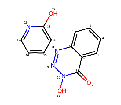 O=c1c2ccccc2nnn1O.Oc1ccccn1